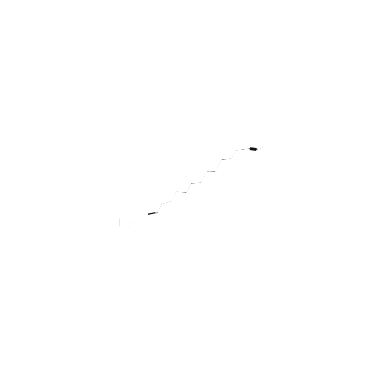 CC#CCCCCCCCCCCC/C=C/C(=O)O